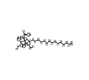 CCOC(=O)C(CCCCCCCCCCCCCCCCF)(NC(C)=O)C(=O)OCC